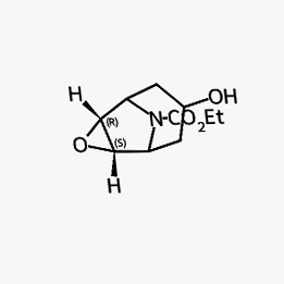 CCOC(=O)N1C2CC(O)CC1[C@@H]1O[C@H]21